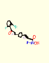 O=C(/C=C/c1ccc(/C=C/C(=O)c2c(F)cccc2F)cc1)NO